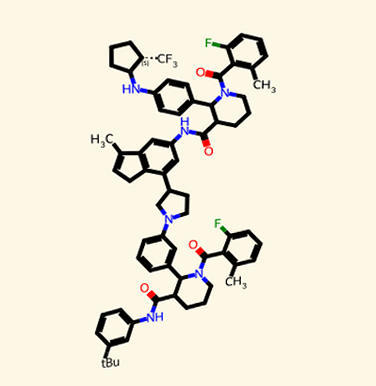 CC1=CCc2c1cc(NC(=O)C1CCCN(C(=O)c3c(C)cccc3F)C1c1ccc(NC3CCC[C@@H]3C(F)(F)F)cc1)cc2C1CCN(c2cccc(C3C(C(=O)Nc4cccc(C(C)(C)C)c4)CCCN3C(=O)c3c(C)cccc3F)c2)C1